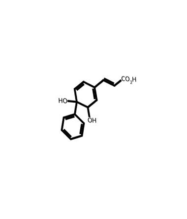 O=C(O)C=CC1=CC(O)C(O)(c2ccccc2)C=C1